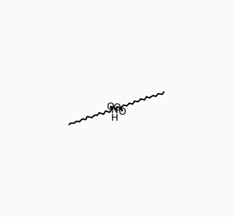 CCCCCCCCCCCCCCCC(=O)NOC(=O)CCCCCCCCCCCCCCC